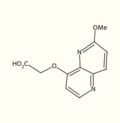 COc1ccc2nccc(OCC(=O)O)c2n1